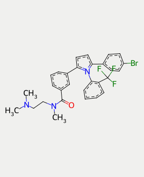 CN(C)CCN(C)C(=O)c1cccc(-c2ccc(-c3ccc(Br)cc3)n2-c2ccccc2C(F)(F)F)c1